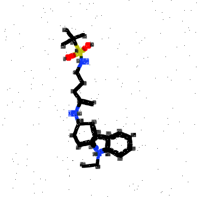 C=C(CCCNS(=O)(=O)C(C)(C)C)NC1C=c2c(n(CC)c3ccccc23)=CC1